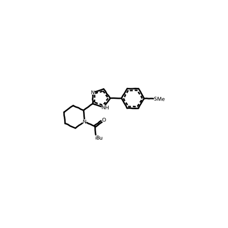 CCC(C)C(=O)N1CCCCC1c1ncc(-c2ccc(SC)cc2)[nH]1